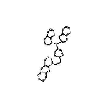 O=Cc1cc2ccccc2cc1C(=O)/C=C\c1ccc(N(c2ccc3ccccc3c2)c2cccc3ccccc23)cc1